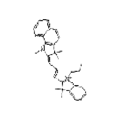 CCC[N+]1=C(/C=C/C=C2/N(C)c3c(ccc4ccccc34)C2(C)C)C(C)(C)c2ccccc21